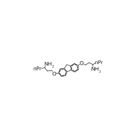 CCCC(N)CCOc1ccc2c(c1)Cc1cc(OCCC(N)CCC)ccc1-2